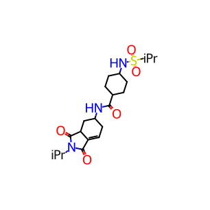 CC(C)N1C(=O)C2=CCC(NC(=O)C3CCC(NS(=O)(=O)C(C)C)CC3)CC2C1=O